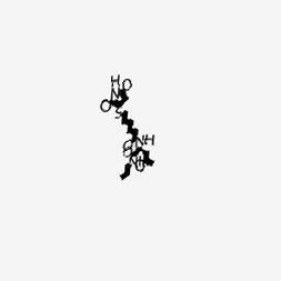 CCCNC(=O)[C@H](CC(C)=O)NC(=O)CCCCCSC1CC(=O)NC1=O